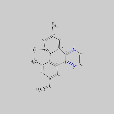 C=Cc1cc(C)cc(-c2nccnc2-c2cc(C)cc(C)c2)c1